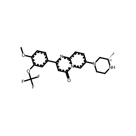 COc1ccc(-c2cc(=O)n3cc(N4CCN[C@@H](C)C4)ccc3n2)cc1OC(F)(F)F